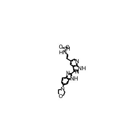 O=[SH](=O)NC=Cc1cnc2[nH]nc(-c3nc4ccc(N5CCOCC5)cc4[nH]3)c2c1